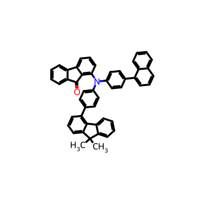 CC1(C)c2ccccc2-c2c(-c3ccc(N(c4ccc(-c5cccc6ccccc56)cc4)c4cccc5c4C(=O)c4ccccc4-5)cc3)cccc21